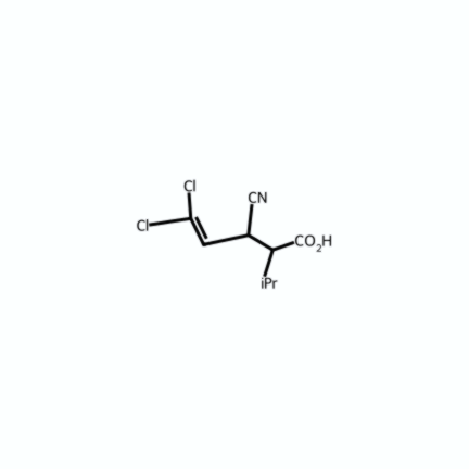 CC(C)C(C(=O)O)C(C#N)C=C(Cl)Cl